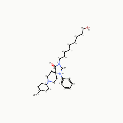 CC(C)[C@H]1CC[C@@H](N2CCC3(CC2)C(=O)N(CCCCCCCCCBr)CN3c2ccccc2)CC1